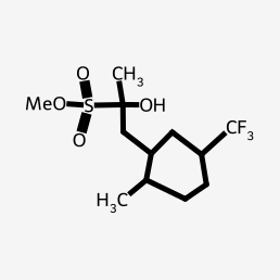 COS(=O)(=O)C(C)(O)CC1CC(C(F)(F)F)CCC1C